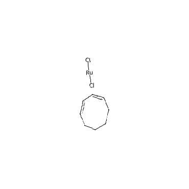 C1=C\CCCC\C=C/1.[Cl][Ru][Cl]